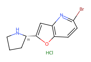 Brc1ccc2oc([C@@H]3CCCN3)cc2n1.Cl